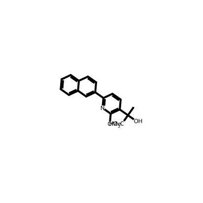 COc1nc(-c2ccc3ccccc3c2)ccc1C(C)(O)C(=O)O